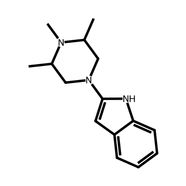 CC1CN(c2cc3ccccc3[nH]2)CC(C)N1C